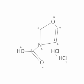 Cl.Cl.O=C(O)N1C=COC1